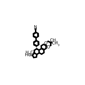 CC1(C)COC2(CCC3=C(CCC4C3[C@@H](c3ccc(-c5ccc(C#N)cc5)cc3)C[C@@]3(C)C4CC[C@@H]3O)C2)OC1